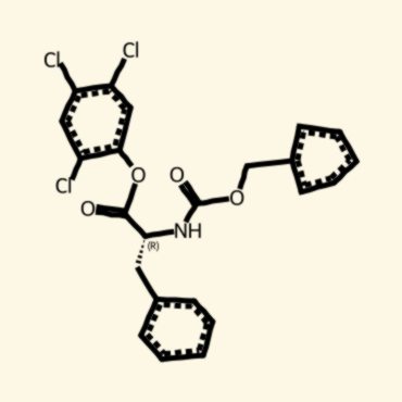 O=C(N[C@H](Cc1ccccc1)C(=O)Oc1cc(Cl)c(Cl)cc1Cl)OCc1ccccc1